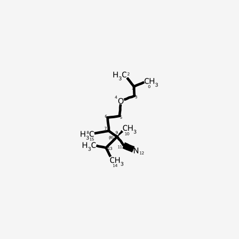 CC(C)COCCC(C)[C@](C)(C#N)C(C)C